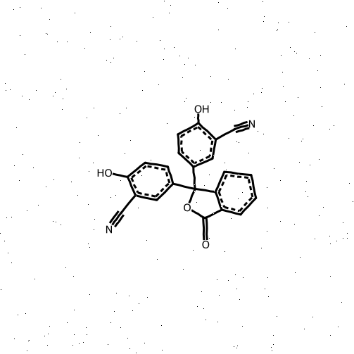 N#Cc1cc(C2(c3ccc(O)c(C#N)c3)OC(=O)c3ccccc32)ccc1O